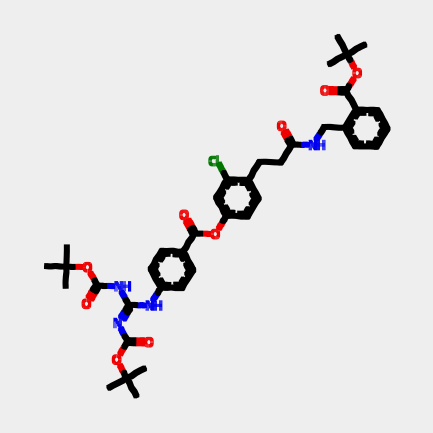 CC(C)(C)OC(=O)/N=C(/NC(=O)OC(C)(C)C)Nc1ccc(C(=O)Oc2ccc(CCC(=O)NCc3ccccc3C(=O)OC(C)(C)C)c(Cl)c2)cc1